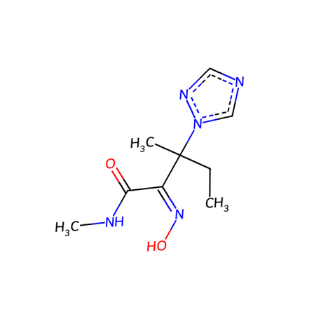 CCC(C)(C(=NO)C(=O)NC)n1cncn1